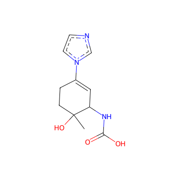 CC1(O)CCC(n2ccnc2)=CC1NC(=O)O